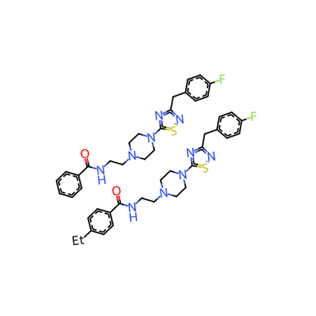 CCc1ccc(C(=O)NCCN2CCN(c3nc(Cc4ccc(F)cc4)ns3)CC2)cc1.O=C(NCCN1CCN(c2nc(Cc3ccc(F)cc3)ns2)CC1)c1ccccc1